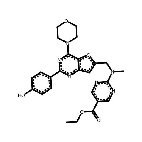 CCOC(=O)c1cnc(N(C)Cc2cc3nc(-c4ccc(O)cc4)nc(N4CCOCC4)c3s2)nc1